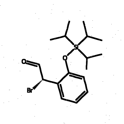 CC(C)[Si](Oc1ccccc1[C@H](Br)C=O)(C(C)C)C(C)C